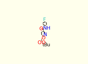 CC(C)(C)OC(=O)COc1ccc(C(=O)Nc2ccc(F)cc2)cn1